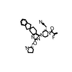 C=C(F)C(=O)N1CCN(c2nc(OC[C@@H]3CCCN3C)nc3c2CCC2(Cc4ccccc4C2)C3)C[C@@H]1CC#N